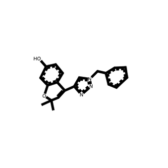 CC1(C)C=C(c2cn(Cc3ccccc3)nn2)c2ccc(O)cc2O1